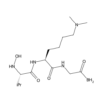 BC(=O)CNC(=O)[C@H](CCCCN(C)C)NC(=O)[C@@H](NO)C(C)C